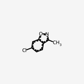 Cc1noc2cc(Cl)ccc12